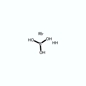 OB(O)O.[HH].[Rb]